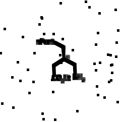 CCCCCC[C@@H](CN)CC(=O)OCC